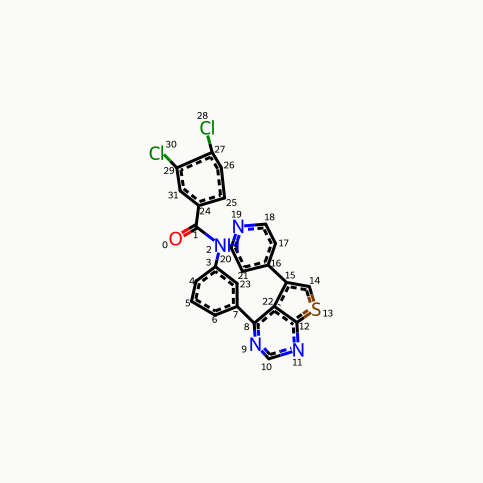 O=C(Nc1cccc(-c2ncnc3scc(-c4ccncc4)c23)c1)c1ccc(Cl)c(Cl)c1